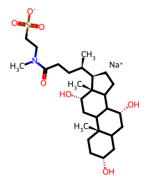 C[C@H](CCC(=O)N(C)CCS(=O)(=O)[O-])[C@H]1CCC2C3C(C[C@H](O)[C@@]21C)[C@@]1(C)CC[C@@H](O)CC1C[C@H]3O.[Na+]